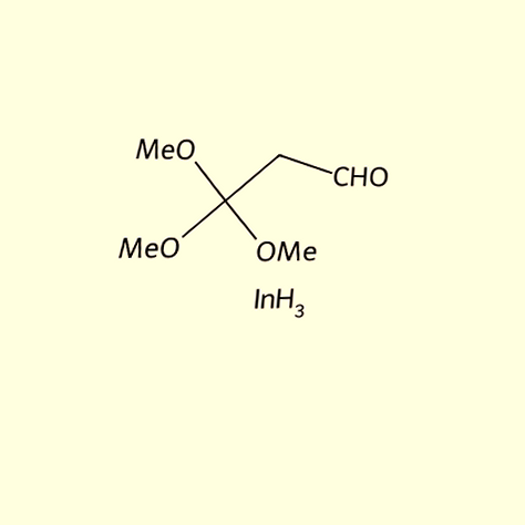 COC(CC=O)(OC)OC.[InH3]